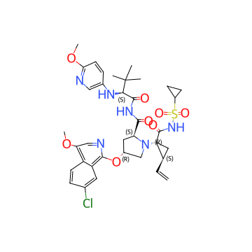 C=C[C@@H]1C[C@@]1(C(=O)NS(=O)(=O)C1CC1)N1C[C@H](Oc2ncc(OC)c3ccc(Cl)cc23)C[C@H]1C(=O)NC(=O)[C@@H](Nc1ccc(OC)nc1)C(C)(C)C